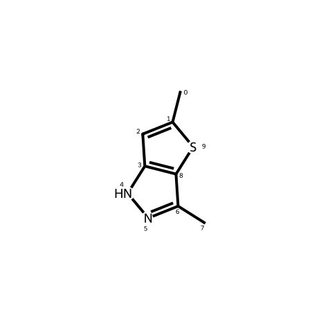 Cc1cc2[nH]nc(C)c2s1